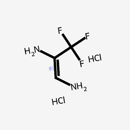 Cl.Cl.N/C=C(/N)C(F)(F)F